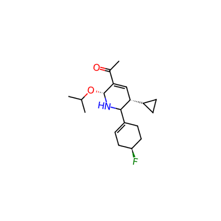 CC(=O)C1=C[C@H](C2CC2)C(C2=CC[C@H](F)CC2)N[C@@H]1OC(C)C